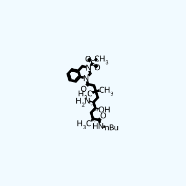 CCCCNC(=O)[C@H](C)C[C@H](O)[C@@H](N)CC(C)(C)CC(=O)N1CN(S(C)(=O)=O)Cc2ccccc21